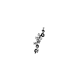 COC(C(=O)Nc1nnc(N[C@@H]2CCN(c3ccc(C)nn3)C2)s1)c1cccc(N2CC(F)C2)c1